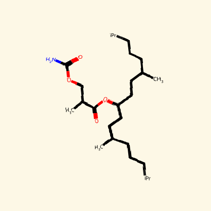 CC(C)CCCC(C)CCC(CCC(C)CCCC(C)C)OC(=O)C(C)COC(N)=O